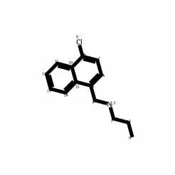 CCC[N]Cc1ccc(Cl)c2ccccc12